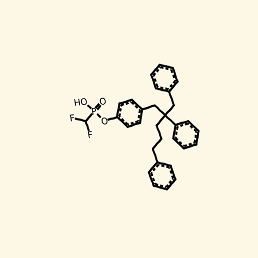 O=P(O)(Oc1ccc(CC(CCCc2ccccc2)(Cc2ccccc2)c2ccccc2)cc1)C(F)F